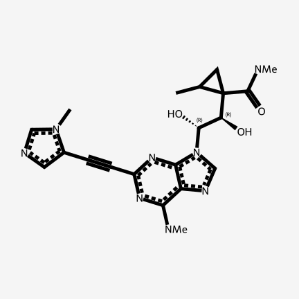 CNC(=O)C1([C@@H](O)[C@@H](O)n2cnc3c(NC)nc(C#Cc4cncn4C)nc32)CC1C